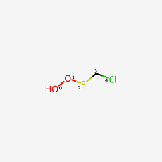 OOSCCl